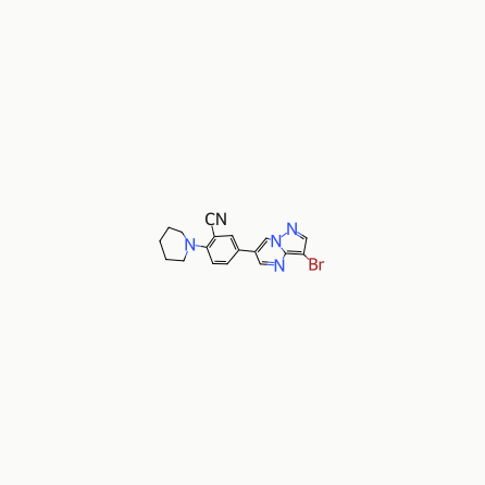 N#Cc1cc(-c2cnc3c(Br)cnn3c2)ccc1N1CCCCC1